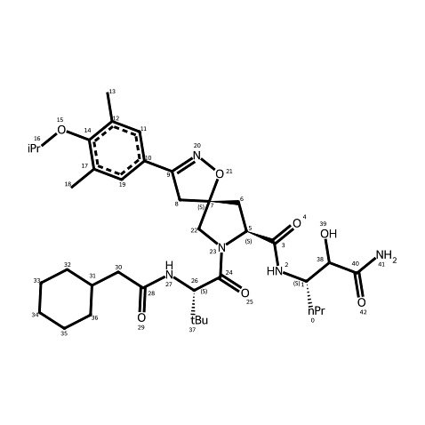 CCC[C@H](NC(=O)[C@@H]1C[C@]2(CC(c3cc(C)c(OC(C)C)c(C)c3)=NO2)CN1C(=O)[C@@H](NC(=O)CC1CCCCC1)C(C)(C)C)C(O)C(N)=O